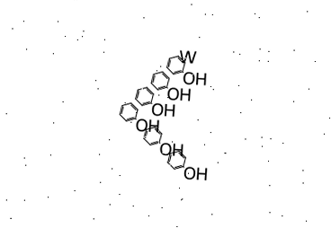 Oc1ccccc1.Oc1ccccc1.Oc1ccccc1.Oc1ccccc1.Oc1ccccc1.Oc1ccccc1.[W]